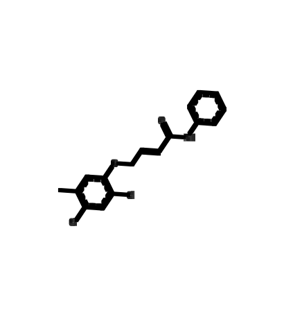 Cc1cc(OC/C=C/C(=O)Nc2ccccc2)c(Cl)cc1Cl